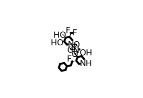 CN(O[C@H]1[C@H](O)CNC[C@@H]1C(F)CC1CCCCC1)S(=O)(=O)N1C[C@@H](O)[C@H](O)[C@@H](C(F)F)C1